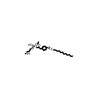 CCCCCCCCCCCCCCOc1ccc(CC(COP(O)OCCCNC)OC(C)=O)cc1